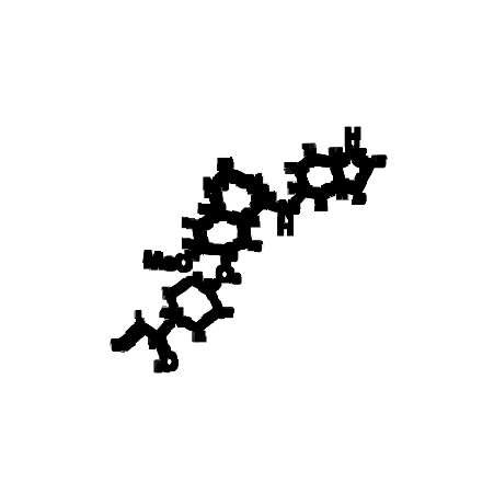 C=CC(=O)N1CCC(Oc2cc3c(Nc4ccc5[nH]ccc5c4)ncnc3cc2OC)CC1